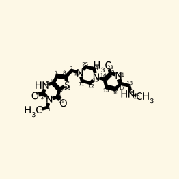 CCn1c(=O)[nH]c2cc(CN3CCN(c4ccc(CNC)nc4C)CC3)sc2c1=O